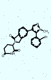 CC(C)c1ccccc1-c1c(-c2ccc3c(c2)CN(C2CCC(=O)NC2=O)C3=O)cnn1C